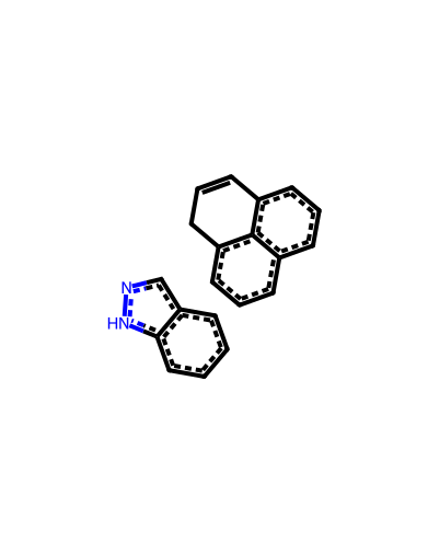 C1=Cc2cccc3cccc(c23)C1.c1ccc2[nH]ncc2c1